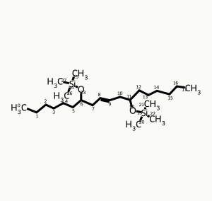 CCCCCCC(C/C=C/CC(CCCCCC)O[Si](C)(C)C)O[Si](C)(C)C